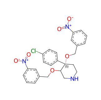 O=[N+]([O-])c1cccc(COC2CNCC[C@]2(OCc2cccc([N+](=O)[O-])c2)c2ccc(Cl)cc2)c1